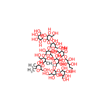 CC1OC(CO)C(OC2OC(CO)C(OC3OC(COC4OC(COC5OC(CO)C(O)C(O)C5OC5OC(CO)C(O)C(O)C5O)C(O)C(OC5OC(CO)C(O)C(O)C5OC(O)C(O)C(O)C(O)CCO)C4O)C(O)C(OC4OC(CO)C(O)C(O)C4OC4OC(CO)C(O)C(O)C4OC4OC(CO)C(O)C(O)C4O)C3O)C(O)C2C)C(O)C1C